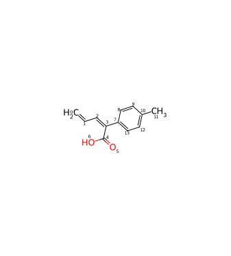 C=CC=C(C(=O)O)c1ccc(C)cc1